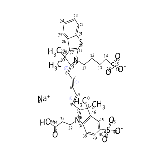 CC1(C)C(/C=C/C=C/C=C2\N(CCCCS(=O)(=O)[O-])c3sc4ccccc4c3C2(C)C)=[N+](CCC(=O)O)c2ccc(S(=O)(=O)[O-])cc21.[Na+]